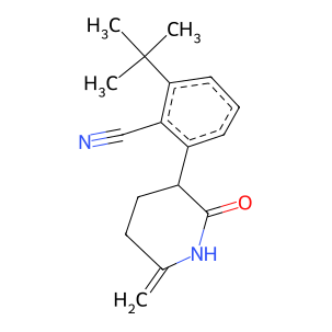 C=C1CCC(c2cccc(C(C)(C)C)c2C#N)C(=O)N1